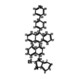 CCc1nc2ccccc2n1-c1ccc(-c2c3ccccc3c(-c3ccc(-c4ccncc4)cc3)c3ccccc23)c2ccccc12